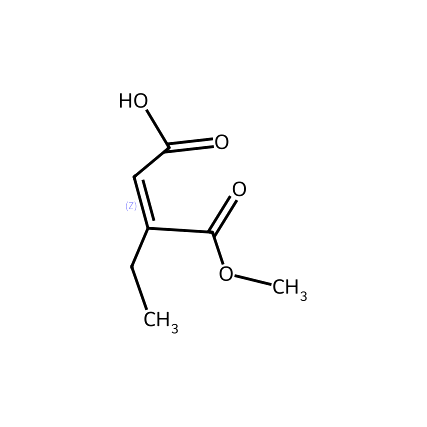 CC/C(=C/C(=O)O)C(=O)OC